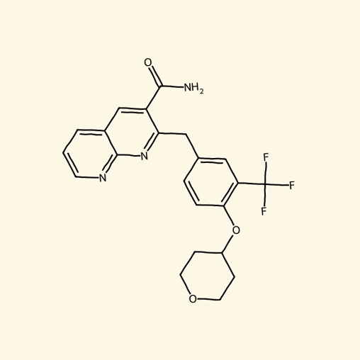 NC(=O)c1cc2cccnc2nc1Cc1ccc(OC2CCOCC2)c(C(F)(F)F)c1